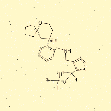 [2H]C([2H])([2H])OC([2H])([2H])c1ccsc1CNCC[C@@]1(c2ccccn2)CCOC2(CCCC2)C1